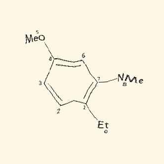 CCc1ccc(OC)cc1NC